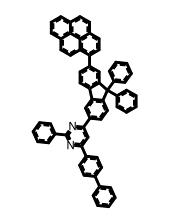 c1ccc(-c2ccc(-c3cc(-c4ccc5c(c4)-c4ccc(-c6ccc7ccc8cccc9ccc6c7c89)cc4C5(c4ccccc4)c4ccccc4)nc(-c4ccccc4)n3)cc2)cc1